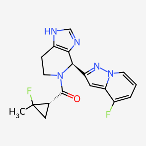 CC1(F)C[C@H]1C(=O)N1CCc2[nH]cnc2[C@H]1c1cc2c(F)cccn2n1